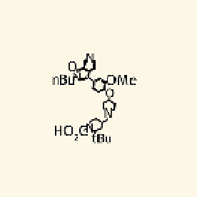 CCCCn1cc(-c2ccc(OC3CCN(CC4CCN(C(=O)O)C(C(C)(C)C)C4)CC3)c(OC)c2)c2ccncc2c1=O